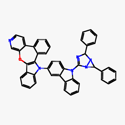 c1ccc(C2N=C(n3c4ccccc4c4cc(-n5c6c(c7ccccc75)Oc5cnccc5-c5ccccc5-6)ccc43)N3C(c4ccccc4)N23)cc1